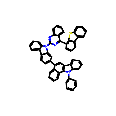 c1ccc(-n2c3ccccc3c3cc(-c4ccc5c6ccccc6n(-c6nc(-c7cccc8c7sc7ccccc78)c7ccccc7n6)c5c4)c4ccccc4c32)cc1